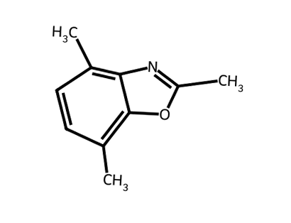 Cc1nc2c(C)ccc(C)c2o1